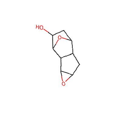 OC1CC2OC1C1C2CC2OC21